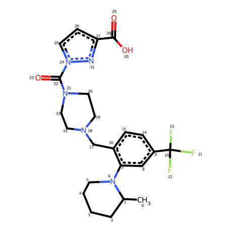 CC1CCCCN1c1cc(C(F)(F)F)ccc1CN1CCN(C(=O)n2ccc(C(=O)O)n2)CC1